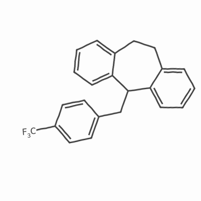 FC(F)(F)c1ccc(CC2c3ccccc3CCc3ccccc32)cc1